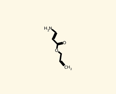 C=CCOC(=O)C=CN